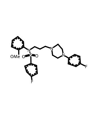 COc1ccccc1N(CCCN1CCN(c2ccc(F)cc2)CC1)S(=O)(=O)c1ccc(F)cc1